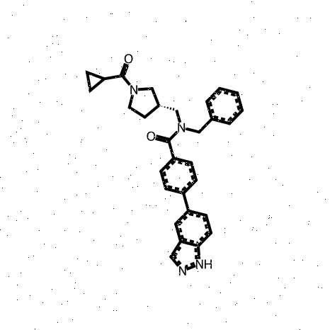 O=C(c1ccc(-c2ccc3[nH]ncc3c2)cc1)N(Cc1ccccc1)C[C@@H]1CCN(C(=O)C2CC2)C1